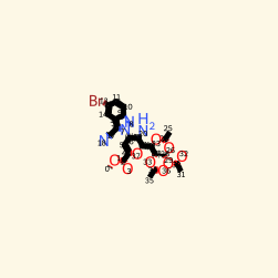 COC(=O)C1=C[C@H](n2nc3ccc(Br)cc3c2C#N)[C@@H](N)[C@H]([C@H](OC(C)=O)[C@@H](COC(C)=O)OC(C)=O)O1